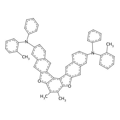 Cc1ccccc1N(c1ccccc1)c1ccc2cc3c(cc2c1)oc1c(C)c(C)c2oc4cc5cc(N(c6ccccc6)c6ccccc6C)ccc5cc4c2c13